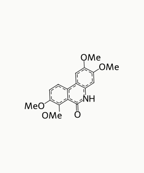 COc1cc2[nH]c(=O)c3c(OC)c(OC)ccc3c2cc1OC